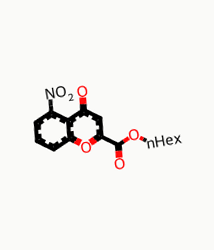 CCCCCCOC(=O)c1cc(=O)c2c([N+](=O)[O-])cccc2o1